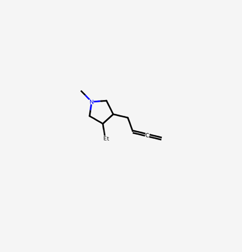 C=C=CCC1CN(C)CC1CC